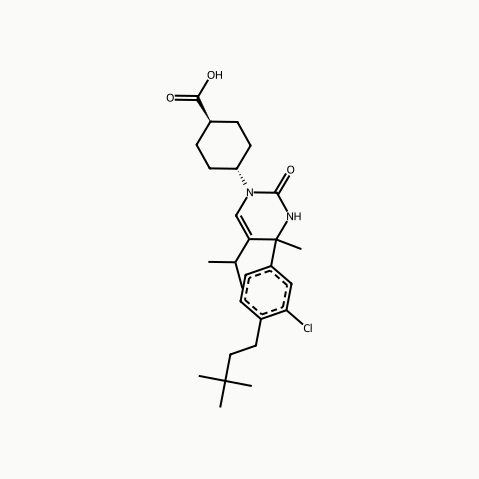 CC(C)C1=CN([C@H]2CC[C@H](C(=O)O)CC2)C(=O)NC1(C)c1ccc(CCC(C)(C)C)c(Cl)c1